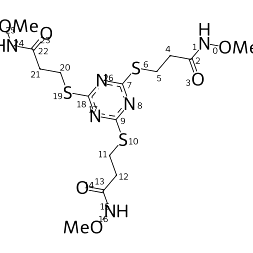 CONC(=O)CCSc1nc(SCCC(=O)NOC)nc(SCCC(=O)NOC)n1